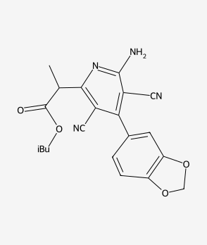 CCC(C)OC(=O)C(C)c1nc(N)c(C#N)c(-c2ccc3c(c2)OCO3)c1C#N